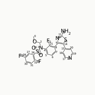 COCN(c1cccc(-c2nc(N)sc2-c2ccncc2)c1F)S(=O)(=O)c1cc(F)ccc1F